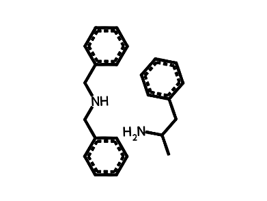 CC(N)Cc1ccccc1.c1ccc(CNCc2ccccc2)cc1